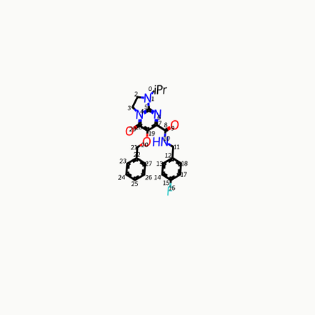 CC(C)N1CCn2c1nc(C(=O)NCc1ccc(F)cc1)c(OCc1ccccc1)c2=O